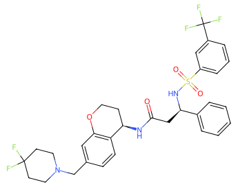 O=C(C[C@@H](NS(=O)(=O)c1cccc(C(F)(F)F)c1)c1ccccc1)N[C@@H]1CCOc2cc(CN3CCC(F)(F)CC3)ccc21